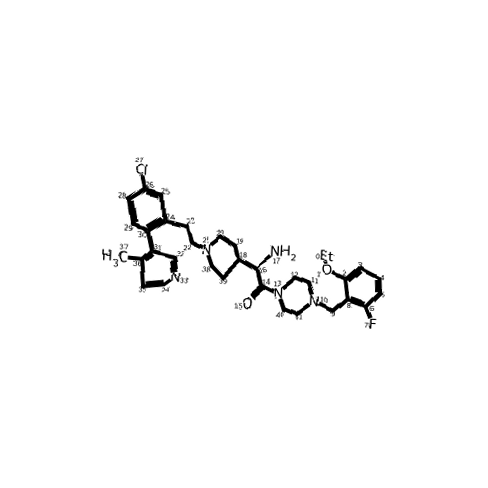 CCOc1cccc(F)c1CN1CCN(C(=O)[C@H](N)C2CCN(CCc3cc(Cl)ccc3-c3cnccc3C)CC2)CC1